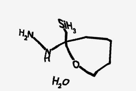 NNC1([SiH3])CCCCO1.O